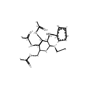 CCSC1OC(COC(C)=O)C(OC(C)=O)C(OC(C)=O)C1Nc1ccccc1